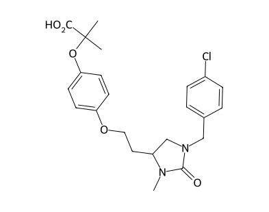 CN1C(=O)N(Cc2ccc(Cl)cc2)CC1CCOc1ccc(OC(C)(C)C(=O)O)cc1